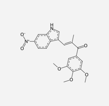 COc1cc(C(=O)/C(C)=C/c2c[nH]c3cc([N+](=O)[O-])ccc23)cc(OC)c1OC